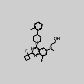 Cc1ccccc1C1CCN(c2nc(C3(F)CCC3)nc3c(F)cc(N(C)CCO)cc23)CC1